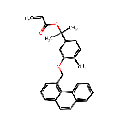 C=CC(=O)OC(C)(C)C1CC=C(C)C(OCc2cccc3ccc4ccccc4c23)C1